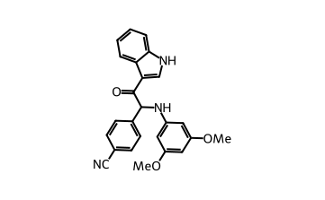 COc1cc(NC(C(=O)c2c[nH]c3ccccc23)c2ccc(C#N)cc2)cc(OC)c1